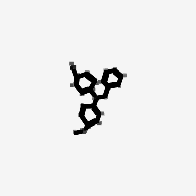 COc1ccc(N(Cc2c[c]ccc2)c2ccc(Cl)cc2)cc1